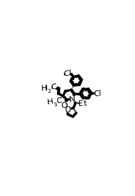 C=CC[C@@]1(C)C[C@H](c2cccc(Cl)c2)C(c2ccc(Cl)cc2)N([C@@H](CC)[C@H]2CCCO2)C1=O